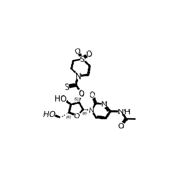 CC(=O)Nc1ccn([C@@H]2O[C@H](CO)C(O)[C@@H]2OC(=S)N2CCS(=O)(=O)CC2)c(=O)n1